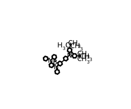 CC(C)(C)c1ccc2c(c1)c1cc(C(C)(C)C)ccc1n2-c1ccc(-c2ccc3c(c2)B2c4ccccc4N(c4ccccc4)c4cccc(c42)N3c2ccccc2)cc1